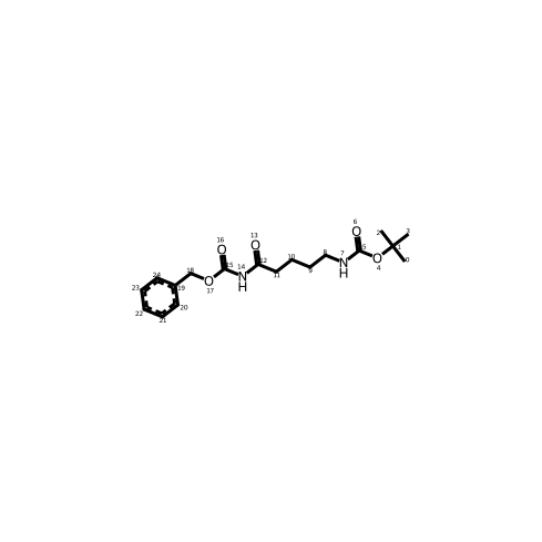 CC(C)(C)OC(=O)NCCCCC(=O)NC(=O)OCc1ccccc1